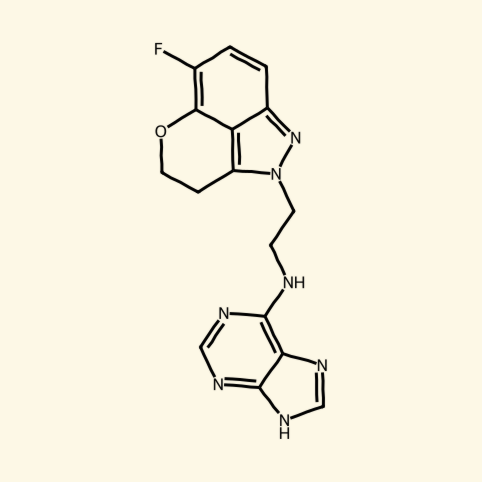 Fc1ccc2nn(CCNc3ncnc4[nH]cnc34)c3c2c1OCC3